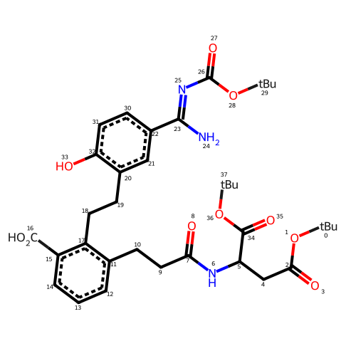 CC(C)(C)OC(=O)CC(NC(=O)CCc1cccc(C(=O)O)c1CCc1cc(C(N)=NC(=O)OC(C)(C)C)ccc1O)C(=O)OC(C)(C)C